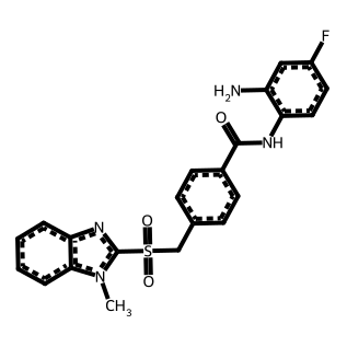 Cn1c(S(=O)(=O)Cc2ccc(C(=O)Nc3ccc(F)cc3N)cc2)nc2ccccc21